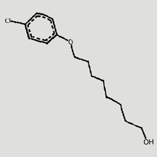 OCCCCCCCCOc1ccc(Cl)cc1